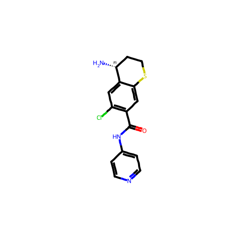 N[C@@H]1CCSc2cc(C(=O)Nc3ccncc3)c(Cl)cc21